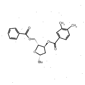 Cc1ccc(C(=O)O[C@H]2C[C@H](C(C)(C)C)O[C@@H]2COC(=O)c2ccccc2)cc1C